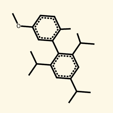 COc1ccc(C)c(-c2c(C(C)C)cc(C(C)C)cc2C(C)C)c1